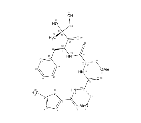 COC[C@H](NC(=O)c1cnc(C)s1)C(=O)N[C@@H](COC)C(=O)N[C@@H](Cc1ccccc1)C(=O)[C@](C)(O)CO